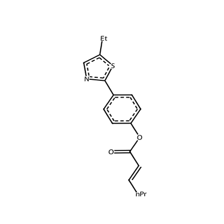 CCCC=CC(=O)Oc1ccc(-c2ncc(CC)s2)cc1